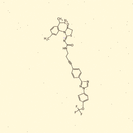 Cc1ccc(C(C)C)c(N2C(=O)CS/C2=N\C(=O)NCCC#Cc2ccc(-c3ncn(-c4ccc(OC(F)(F)F)cc4)n3)cc2)c1